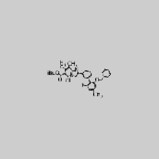 Cc1cc(F)c(-c2cccc(-c3cn4c(Cl)c(C(=O)OCC(C)C)c(C)c(C)c4n3)c2)c(OCc2ccccc2)c1